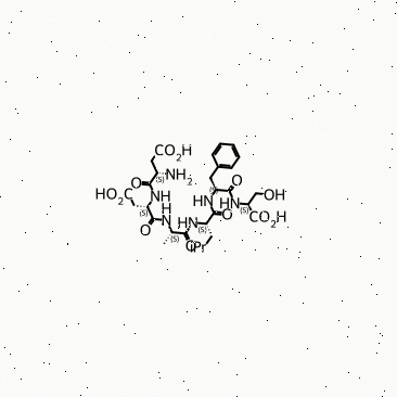 CC(C)C[C@H](NC(=O)[C@H](C)NC(=O)[C@H](CC(=O)O)NC(=O)[C@@H](N)CC(=O)O)C(=O)N[C@@H](Cc1ccccc1)C(=O)N[C@@H](CO)C(=O)O